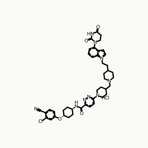 Cl.N#Cc1ccc(O[C@H]2CC[C@H](NC(=O)c3ccc(N4CCC(CN5CCC(CCn6ccc7c(N8CCC(=O)NC8=O)cccc76)CC5)CC4)nn3)CC2)cc1Cl